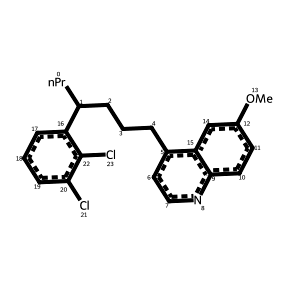 [CH2]CCC(CCCc1ccnc2ccc(OC)cc12)c1cccc(Cl)c1Cl